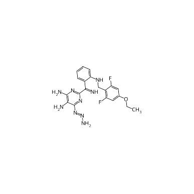 CCOc1cc(F)c(CNc2ccccc2C(=N)c2nc(N)c(N)c(N=NN)n2)c(F)c1